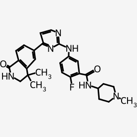 CN1CCC(NC(=O)c2cc(Nc3nccc(-c4ccc5c(c4)C(C)(C)CNC5=O)n3)ccc2F)CC1